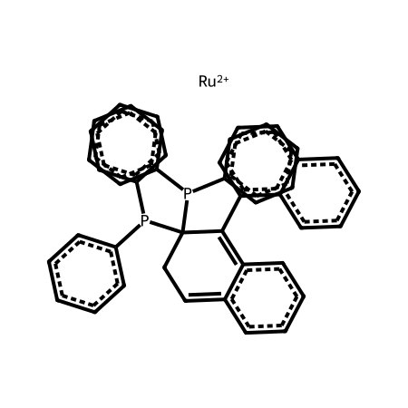 C1=c2ccccc2=C(c2cccc3ccccc23)C(P(c2ccccc2)c2ccccc2)(P(c2ccccc2)c2ccccc2)C1.[Ru+2]